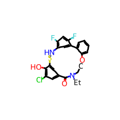 CCN1CCOc2ccccc2-c2cc(c(F)cc2F)NSc2cc(cc(Cl)c2O)C1=O